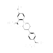 CCOc1ccc(N2CCC(c3ccc([C@H](C)NC(C)=O)cc3)CC2)c(C(N)=O)c1